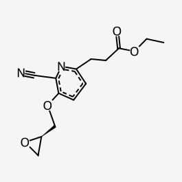 CCOC(=O)CCc1ccc(OC[C@H]2CO2)c(C#N)n1